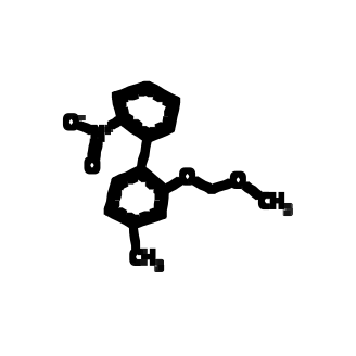 COCOc1cc(C)ccc1-c1ccccc1[N+](=O)[O-]